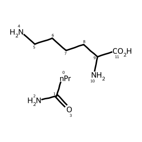 CCCC(N)=O.NCCCCC(N)C(=O)O